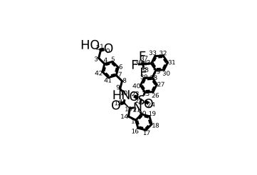 O=C(O)Cc1ccc(CCNC(=O)[C@@H]2Cc3ccccc3N2S(=O)(=O)c2ccc(-c3ccccc3C(F)(F)F)cc2)cc1